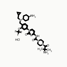 CC(C)(N)C(=O)N1CCN(C(=O)Nc2ccn(-c3ccc(CN(CC4CC4)[C@H]4CC[C@H](N)CC4)c(OC(F)(F)F)c3)c(=O)n2)CC1.Cl